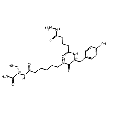 NNC(=O)CCCC(=O)N[C@@H](Cc1ccc(O)cc1)C(=O)NCCCCCC(=O)N[C@@H](CS)C(N)=O